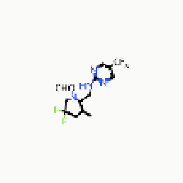 CC1CC(F)(F)CN(C=O)C1CNc1ncc(C(F)(F)F)cn1